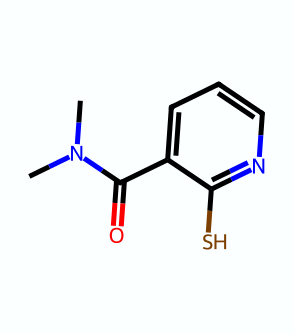 CN(C)C(=O)c1cccnc1S